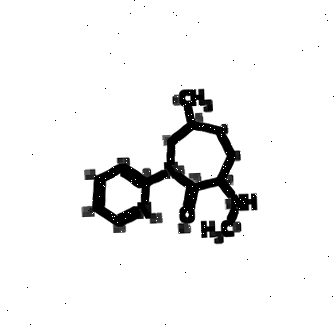 CNC1CCC(C)CN(c2ccccn2)C1=O